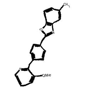 COc1cccnc1-c1ccc(-c2nc3cc(C)ccc3o2)cc1